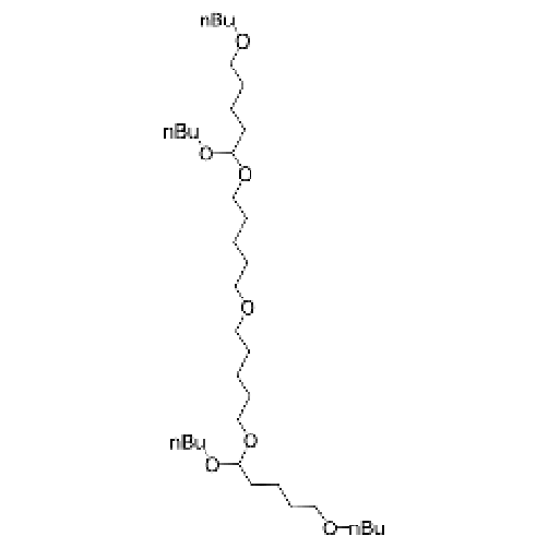 CCCCOCCCCC(OCCCC)OCCCCCOCCCCCOC(CCCCOCCCC)OCCCC